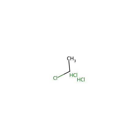 CCCl.Cl.Cl